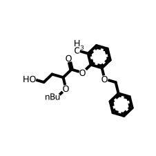 CCCCOC(CCO)C(=O)Oc1c(C)cccc1OCc1ccccc1